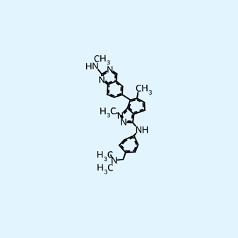 CNc1ncc2cc(-c3c(C)ccc4c(Nc5ccc(CN(C)C)cc5)nn(C)c34)ccc2n1